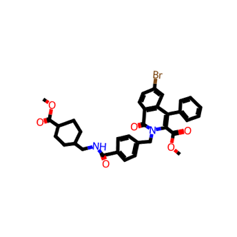 COC(=O)c1c(-c2ccccc2)c2cc(Br)ccc2c(=O)n1Cc1ccc(C(=O)NCC2CCC(C(=O)OC)CC2)cc1